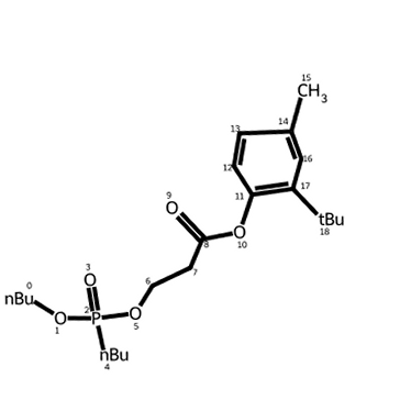 CCCCOP(=O)(CCCC)OCCC(=O)Oc1ccc(C)cc1C(C)(C)C